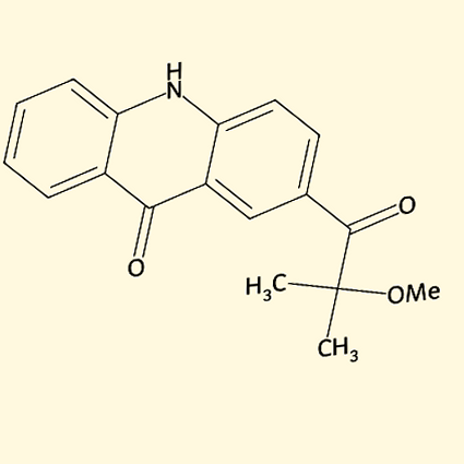 COC(C)(C)C(=O)c1ccc2[nH]c3ccccc3c(=O)c2c1